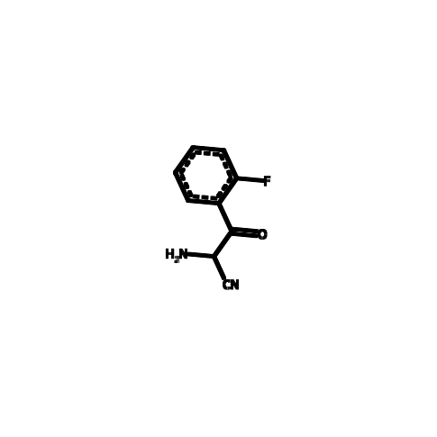 N#CC(N)C(=O)c1ccccc1F